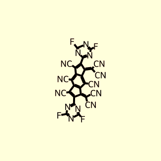 N#CC(C#N)=C1C(c2nc(F)nc(F)n2)=C(C#N)c2c(C#N)c3c(c(C#N)c21)C(=C(C#N)C#N)C(c1nc(F)nc(F)n1)=C3C#N